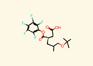 CC(COC(C)(C)C)C[C@H](CC(=O)O)C(=O)Oc1c(F)c(F)c(F)c(F)c1F